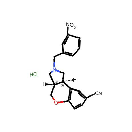 Cl.N#Cc1ccc2c(c1)[C@@H]1CN(Cc3cccc([N+](=O)[O-])c3)C[C@H]1CO2